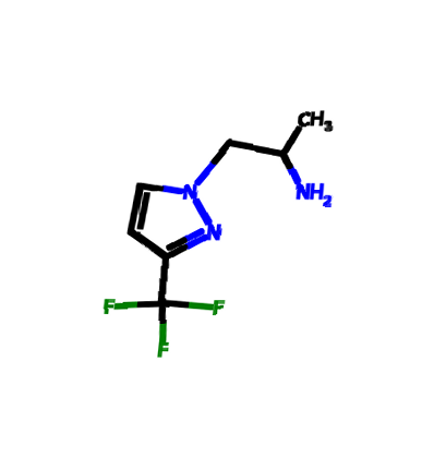 CC(N)Cn1ccc(C(F)(F)F)n1